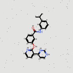 CC(C)c1cccc(NC(=O)c2cccc(Oc3ncccc3-c3ccncn3)c2)c1